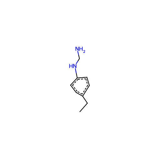 CCc1ccc(NCN)cc1